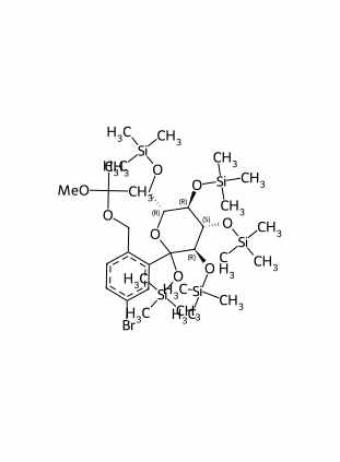 COC(C)(C)OCc1ccc(Br)cc1C1(O[Si](C)(C)C)O[C@H](CO[Si](C)(C)C)[C@@H](O[Si](C)(C)C)[C@H](O[Si](C)(C)C)[C@H]1O[Si](C)(C)C